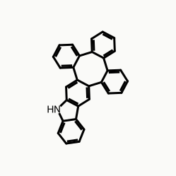 c1ccc2c(c1)-c1ccccc1-c1cc3[nH]c4ccccc4c3cc1-c1ccccc1-2